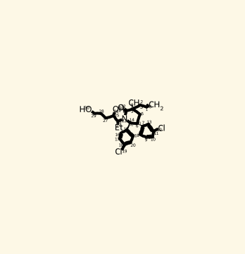 C=CC[C@@]1(C)C[C@H](c2cccc(Cl)c2)[C@@H](c2ccc(Cl)cc2)N(C(CC)C(O)CCCO)C1=O